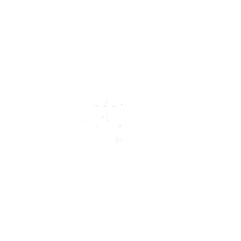 CC(CF)(CF)C(=O)CBr